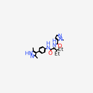 CCC(CC)[C@H](NC(=O)c1ccnn1C)C(=O)Nc1ccc(-c2c(C)n[nH]c2C)cc1